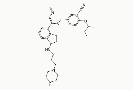 C=N/C=C(\SCc1ccc(OC(C)CC)c(C#N)c1)c1cccc2c1CCC2NSCCN1CCNCC1